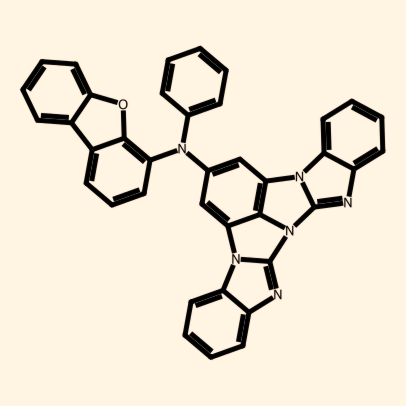 c1ccc(N(c2cc3c4c(c2)n2c5ccccc5nc2n4c2nc4ccccc4n32)c2cccc3c2oc2ccccc23)cc1